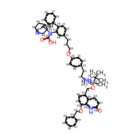 CC(C)(C)[Si](C)(C)O[C@@H](CNCCc1ccc(OCCCc2ccc(-c3ccccc3)c(N(C(=O)O)[C@H]3CN4CCC3CC4)c2)cc1)c1ccc(OCc2ccccc2)c2[nH]c(=O)ccc12